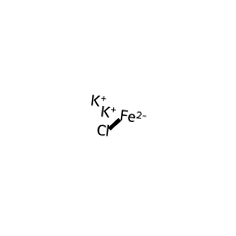 [Cl][Fe-2].[K+].[K+]